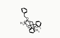 CC(C)(C)C1(c2ccccc2)CN(C(=O)OCc2ccccc2)C1(O[SiH3])c1ccccc1